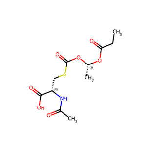 CCC(=O)O[C@H](C)OC(=O)SC[C@H](NC(C)=O)C(=O)O